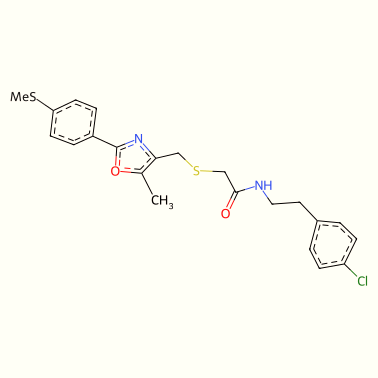 CSc1ccc(-c2nc(CSCC(=O)NCCc3ccc(Cl)cc3)c(C)o2)cc1